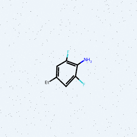 [CH2]Cc1cc(F)c(N)c(F)c1